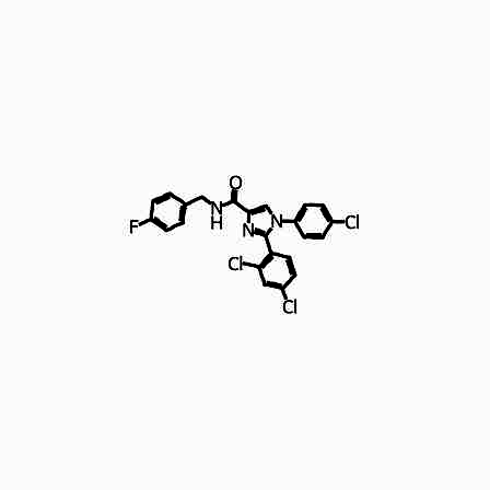 O=C(NCc1ccc(F)cc1)c1cn(-c2ccc(Cl)cc2)c(-c2ccc(Cl)cc2Cl)n1